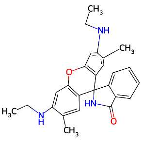 CCNc1cc2c(cc1C)C1(NC(=O)c3ccccc31)c1cc(C)c(NCC)cc1O2